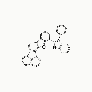 c1ccc(-n2c(-c3cccc4c3oc3c5c(ccc34)-c3cccc4cccc-5c34)nc3ccccc32)cc1